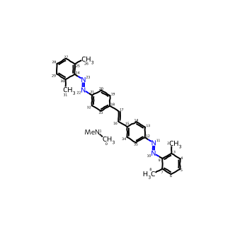 CNC.Cc1cccc(C)c1N=Nc1ccc(C=Cc2ccc(N=Nc3c(C)cccc3C)cc2)cc1